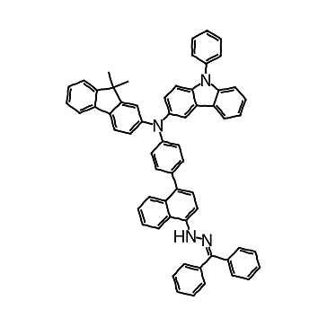 CC1(C)c2ccccc2-c2ccc(N(c3ccc(-c4ccc(NN=C(c5ccccc5)c5ccccc5)c5ccccc45)cc3)c3ccc4c(c3)c3ccccc3n4-c3ccccc3)cc21